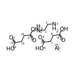 NCCN.O=C(O)CCC(=O)O.O=C(O)CCC(=O)O.[Al]